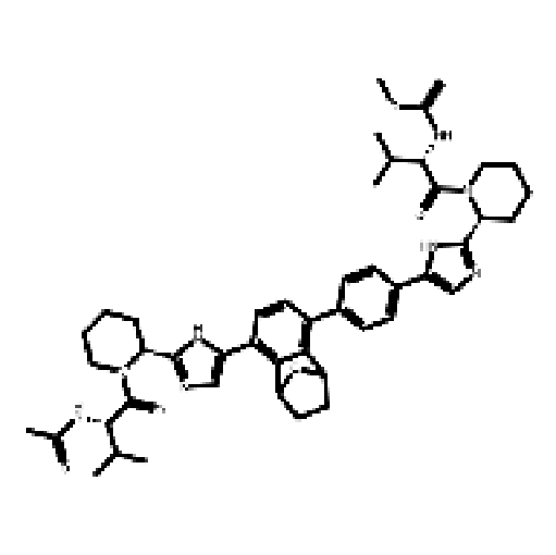 C=C(N[C@H](C(=O)N1CCCC[C@H]1c1ncc(-c2ccc(-c3ccc(-c4cnc([C@@H]5CCCCN5C(=O)[C@@H](NC(C)=O)C(C)C)[nH]4)c4c3C3CCC4O3)cc2)[nH]1)C(C)C)OC